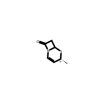 C[C@@H]1C=CN2C(=O)CC2S1